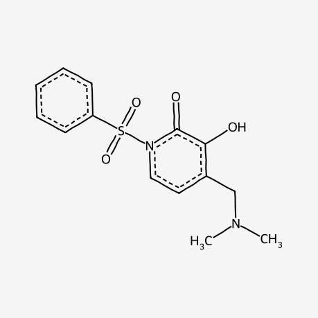 CN(C)Cc1ccn(S(=O)(=O)c2ccccc2)c(=O)c1O